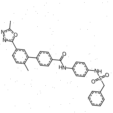 Cc1nnc(-c2ccc(C)c(-c3ccc(C(=O)Nc4ccc(NS(=O)(=O)Cc5ccccc5)cc4)cc3)c2)o1